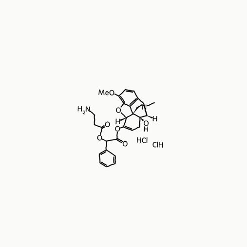 COc1ccc2c3c1O[C@H]1C(OC(=O)[C@H](OC(=O)CCN)c4ccccc4)=CC[C@@]4(O)[C@@H](C2)N(C)CC[C@]314.Cl.Cl